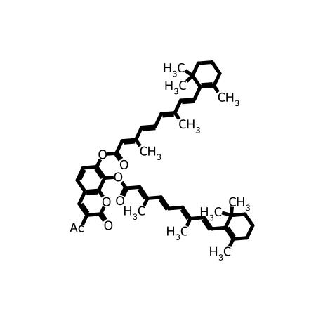 CC(=O)c1cc2ccc(OC(=O)/C=C(C)/C=C/C=C(C)/C=C/C3=C(C)CCCC3(C)C)c(OC(=O)/C=C(C)/C=C/C=C(C)/C=C/C3=C(C)CCCC3(C)C)c2oc1=O